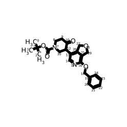 CC(C)(C)OC(=O)N1CCC(=O)C(c2cnc(OCc3ccccc3)c3c2COC3)C1